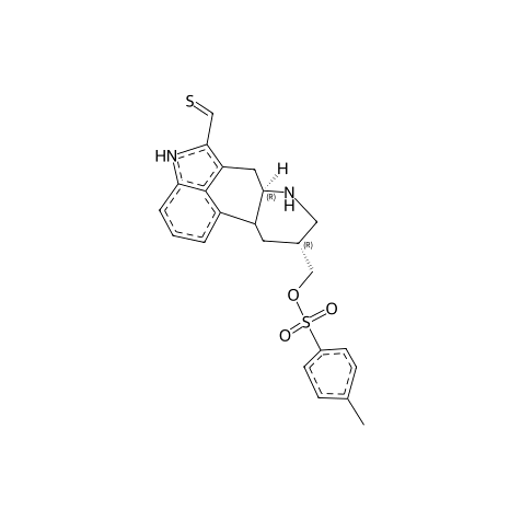 Cc1ccc(S(=O)(=O)OC[C@H]2CN[C@@H]3Cc4c(C=S)[nH]c5cccc(c45)C3C2)cc1